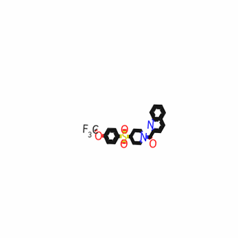 O=C(c1ccc2ccccc2n1)N1CCC(S(=O)(=O)c2ccc(OC(F)(F)F)cc2)CC1